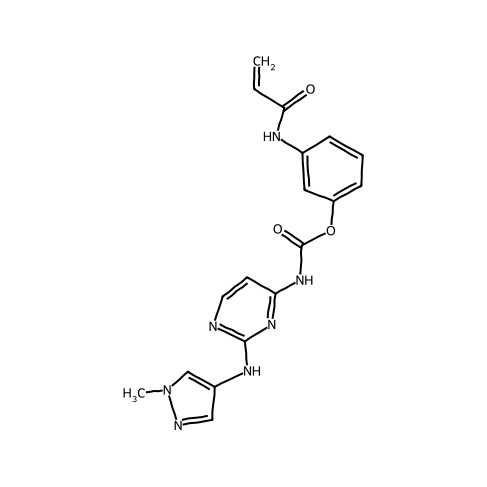 C=CC(=O)Nc1cccc(OC(=O)Nc2ccnc(Nc3cnn(C)c3)n2)c1